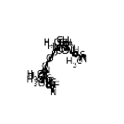 Cc1cc(OCCCOCCOCC(=O)NC(C(=O)N2CCC[C@H]2C(=O)NCc2ccc(-c3scnc3C)cc2)C(C)(C)C)ncc1N1C(=S)N(c2ccc(C#N)c(C(F)(F)F)c2F)C(=O)C1(C)C